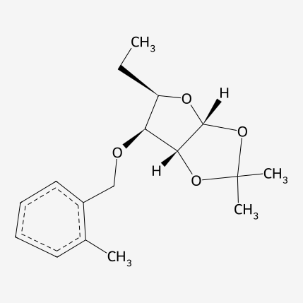 CC[C@H]1O[C@@H]2OC(C)(C)O[C@@H]2[C@H]1OCc1ccccc1C